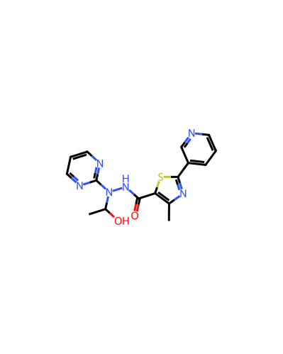 Cc1nc(-c2cccnc2)sc1C(=O)NN(c1ncccn1)C(C)O